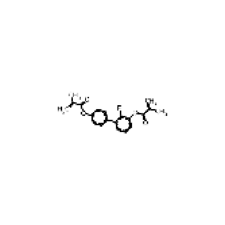 C=C(C)C(=O)Oc1ccc(-c2cccc(OC(=O)C(=C)C)c2F)cc1